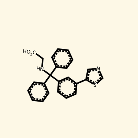 O=C(O)CNC(c1ccccc1)(c1ccccc1)c1cccc(-c2cncs2)c1